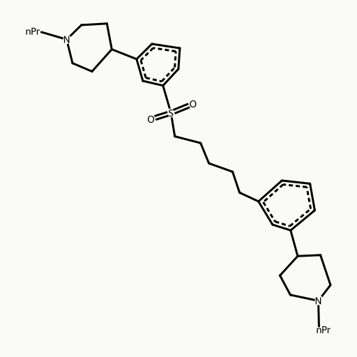 CCCN1CCC(c2cccc(CCCCCS(=O)(=O)c3cccc(C4CCN(CCC)CC4)c3)c2)CC1